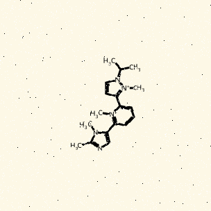 Cc1ncc(-c2cccc(-c3ccn(C(C)C)[n+]3C)[n+]2C)n1C